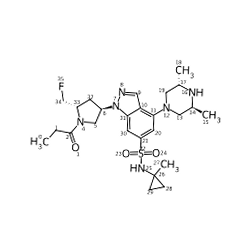 CCC(=O)N1C[C@H](n2ncc3c(N4C[C@H](C)N[C@@H](C)C4)cc(S(=O)(=O)NC4(C)CC4)cc32)C[C@H]1CF